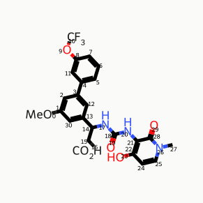 COc1cc(-c2cccc(OC(F)(F)F)c2)cc(C(CC(=O)O)NC(=O)Nc2c(O)ccn(C)c2=O)c1